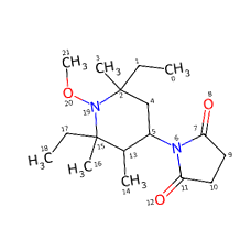 CCC1(C)CC(N2C(=O)CCC2=O)C(C)C(C)(CC)N1OC